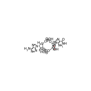 Cc1nc2c(ncn2[C@@H]2O[C@@H]3COP(=O)(O)O[C@H]4[C@@H](F)[C@H](n5cnc6c(N)ncnc65)[C@H]5CC54COP(=O)(O)O[C@@H]2[C@@H]3CO)c(=O)[nH]1